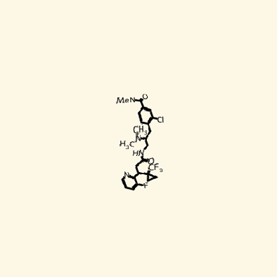 CNC(=O)c1ccc(CC(CNC(=O)CC(c2ncccc2F)C2(C(F)(F)F)CC2)N(C)C)c(Cl)c1